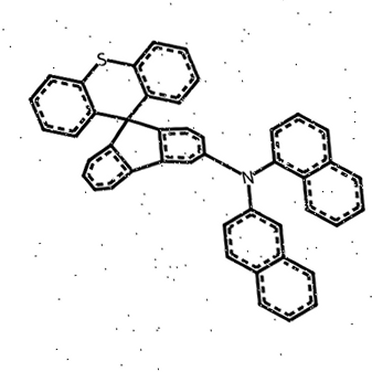 c1ccc2c(c1)Sc1ccccc1C21c2ccccc2-c2cc(N(c3ccc4ccccc4c3)c3cccc4ccccc34)ccc21